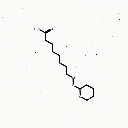 NC(=O)CCCCCCCNOC1CCCCO1